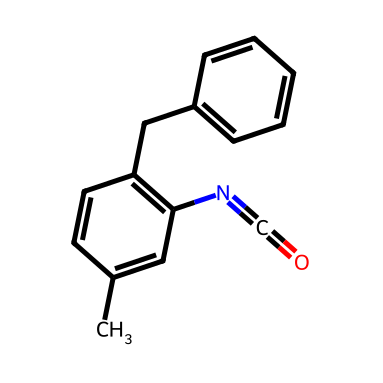 Cc1ccc(Cc2ccccc2)c(N=C=O)c1